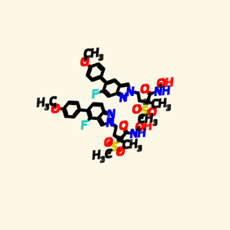 COc1ccc(-c2cc3cn(CC[C@](C)(C(=O)NO)S(C)(=O)=O)nc3cc2F)cc1.COc1ccc(-c2ccc3nn(CC[C@](C)(C(=O)NO)S(C)(=O)=O)cc3c2F)cc1